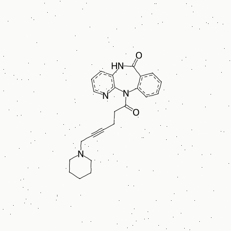 O=C1Nc2cccnc2N(C(=O)CCC#CCN2CCCCC2)c2ccccc21